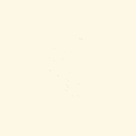 CC(=O)Nc1ccc(-c2cccc(-c3cn(C(=O)N(C)C45CC6CC(CC(C6)C4)C5)cn3)c2)cc1